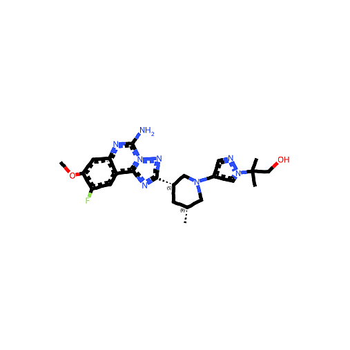 COc1cc2nc(N)n3nc([C@H]4C[C@@H](C)CN(c5cnn(C(C)(C)CO)c5)C4)nc3c2cc1F